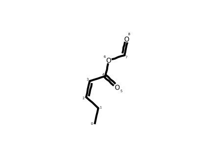 CC/C=C\C(=O)OC=O